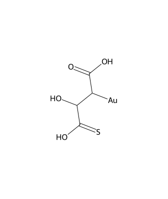 O=C(O)[CH]([Au])C(O)C(O)=S